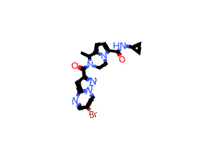 CC1c2ccc(C(=O)NC3CC3)n2CCN1C(=O)c1cc2ncc(Br)cn2n1